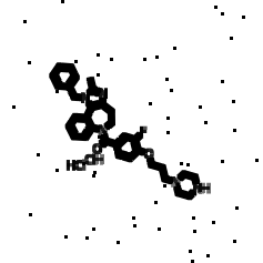 Cc1nc2c(n1Cc1ccccc1)-c1ccccc1N(C(=O)c1ccc(OCCCN3CCNCC3)c(F)c1)CC2.Cl.Cl